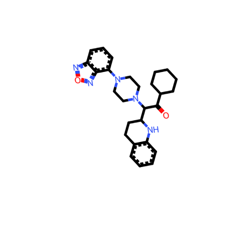 O=C(C1CCCCC1)C(C1CCc2ccccc2N1)N1CCN(c2cccc3nonc23)CC1